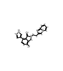 O=C1c2c(-c3cn[nH]c3)ccc(F)c2CN1CCc1cn2ccccc2n1